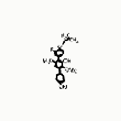 COc1c(-c2ccc(O)cc2)cc(C)c(-c2ccc(OCC=C(C)C)c(F)c2)c1O